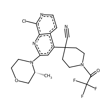 C[C@@H]1COCCN1c1cc(C2(C#N)CCN(C(=O)C(F)(F)F)CC2)c2ccnc(Cl)c2n1